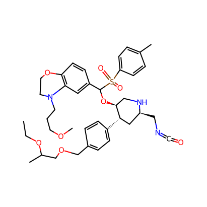 CCOC(C)COCc1ccc([C@H]2C[C@H](CN=C=O)NC[C@@H]2OC(c2ccc3c(c2)N(CCCOC)CCO3)S(=O)(=O)c2ccc(C)cc2)cc1